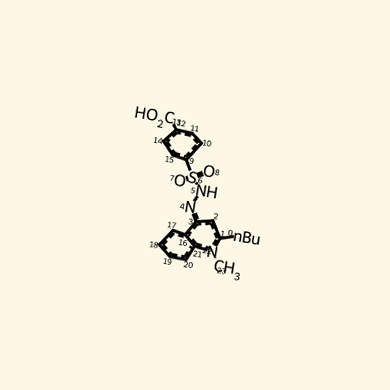 CCCCc1cc(=NNS(=O)(=O)c2ccc(C(=O)O)cc2)c2ccccc2n1C